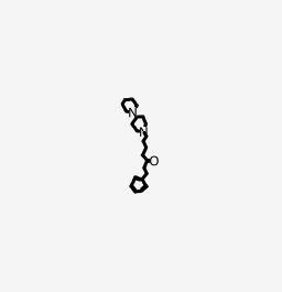 O=C(CCCCN1CCC(N2CCCCC2)CC1)CCc1ccccc1